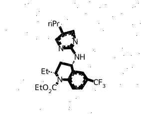 CCCc1cnc(N[C@H]2C[C@@H](CC)N(C(=O)OCC)c3ccc(C(F)(F)F)cc32)nc1